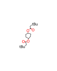 CC(C)(C)CC(=O)OC1CCC(OC(=O)CC(C)(C)C)CC1